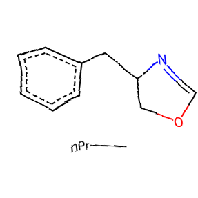 C1=NC(Cc2ccccc2)CO1.CCCC